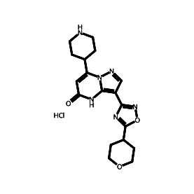 Cl.O=c1cc(C2CCNCC2)n2ncc(-c3noc(C4CCOCC4)n3)c2[nH]1